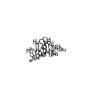 CCC[C@H](NC(=O)[C@@H]1C[C@@]2(CN1C(=O)[C@@H](NC(=O)[C@@H](N)C(C)(C)C)C(C)(C)C)C(C)(C)C21CCC1)C(O)C(=O)NC1CC1